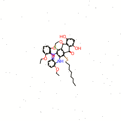 CCCCCCCCSc1c(Nc2c(OCC)cccc2OCC)c(Nc2c(OCC)cccc2OCC)c(F)c2c1C(=O)c1c(O)ccc(O)c1C2=O